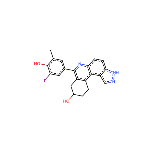 Cc1cc(-c2nc3ccc4[nH]ncc4c3c3c2CC(O)CC3)cc(I)c1O